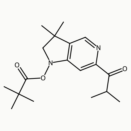 CC(C)C(=O)c1cc2c(cn1)C(C)(C)CN2OC(=O)C(C)(C)C